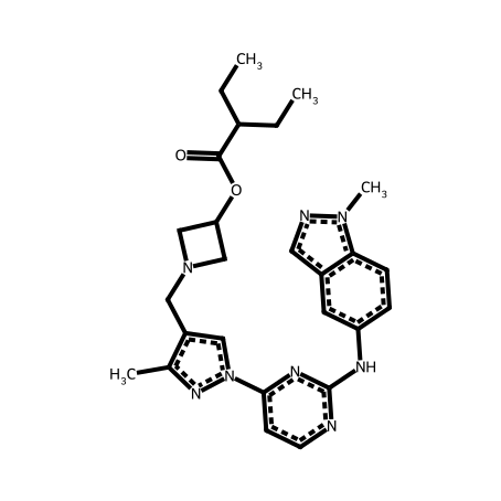 CCC(CC)C(=O)OC1CN(Cc2cn(-c3ccnc(Nc4ccc5c(cnn5C)c4)n3)nc2C)C1